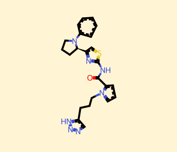 O=C(Nc1nc([C@H]2CCCN2c2ccccc2)cs1)c1cccn1CCCc1cnn[nH]1